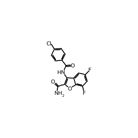 NC(=O)c1oc2c(F)cc(F)cc2c1NC(=O)c1ccc(Cl)cc1